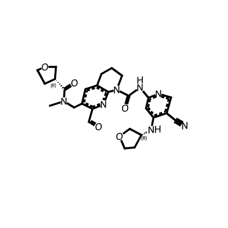 CN(Cc1cc2c(nc1C=O)N(C(=O)Nc1cc(N[C@@H]3CCOC3)c(C#N)cn1)CCC2)C(=O)[C@@H]1CCOC1